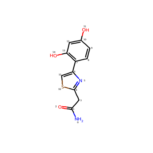 NC(=O)Cc1nc(-c2ccc(O)cc2O)cs1